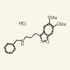 COc1cc2onc(CCCNCc3ccccc3)c2cc1OC.Cl